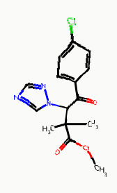 COC(=O)C(C)(C)C(C(=O)c1ccc(Cl)cc1)n1cncn1